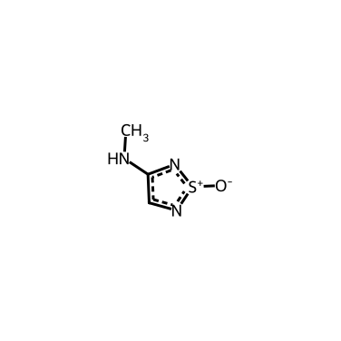 CNc1cn[s+]([O-])n1